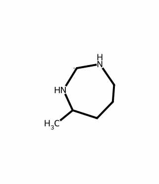 CC1CCCN[CH]N1